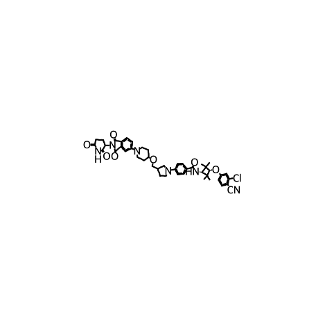 CC1(C)[C@H](NC(=O)c2ccc(N3CCC(COC4CCN(c5ccc6c(c5)C(=O)N(C5CCC(=O)NC5=O)C6=O)CC4)C3)cc2)C(C)(C)[C@H]1Oc1ccc(C#N)c(Cl)c1